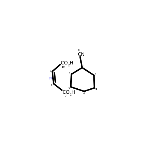 N#CC1CCCCC1.O=C(O)/C=C\C(=O)O